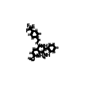 C=C(NC)C(N[C@@H](CCc1ccc(C(F)(F)F)cc1)C1=CC=C(OC)NC1)c1ccccc1